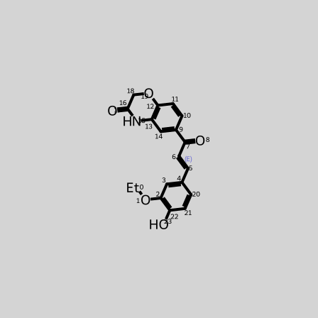 CCOc1cc(/C=C/C(=O)c2ccc3c(c2)NC(=O)CO3)ccc1O